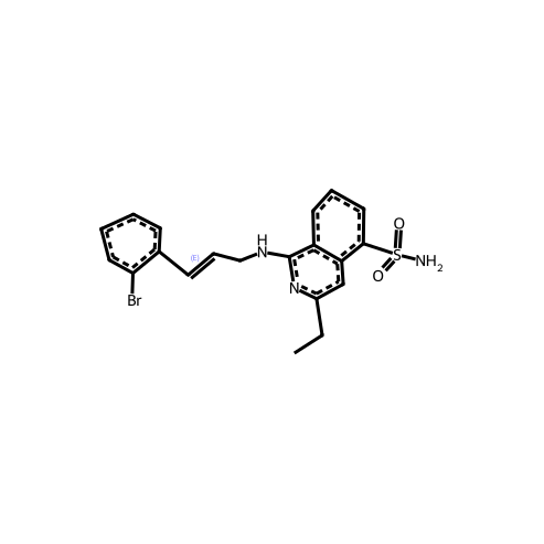 CCc1cc2c(S(N)(=O)=O)cccc2c(NC/C=C/c2ccccc2Br)n1